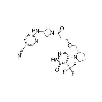 N#Cc1ccc(NC2CN(C(=O)CCOC[C@@H]3CCCN3c3cn[nH]c(=O)c3C(F)(F)F)C2)nc1